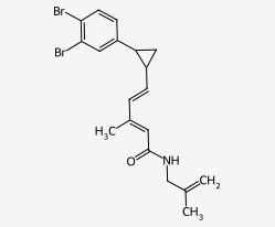 C=C(C)CNC(=O)C=C(C)C=CC1CC1c1ccc(Br)c(Br)c1